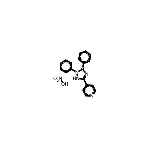 O=[N+]([O-])O.c1ccc(N2N=C(c3ccncc3)NN2c2ccccc2)cc1